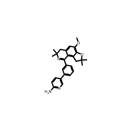 COc1cc2c(c3c1OC(C)(C)C3)C(c1cccc(-c3ccc(N)nc3)c1)=NC(C)(C)C2